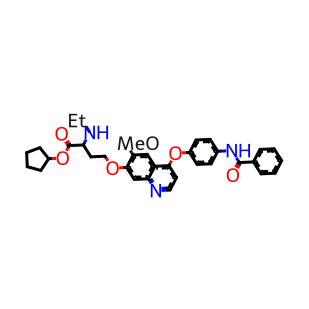 CCNC(CCOc1cc2nccc(Oc3ccc(NC(=O)c4ccccc4)cc3)c2cc1OC)C(=O)OC1CCCC1